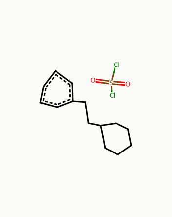 O=S(=O)(Cl)Cl.c1ccc(CCC2CCCCC2)cc1